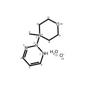 C[N+]1(N2N=CC=CN2)CCOCC1.O.[Cl-]